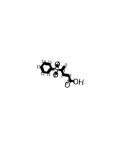 C=C(C=CC(=O)O)S(=O)(=O)c1ccccc1